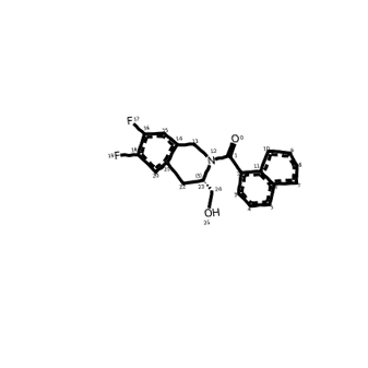 O=C(c1cccc2ccccc12)N1Cc2cc(F)c(F)cc2C[C@H]1CO